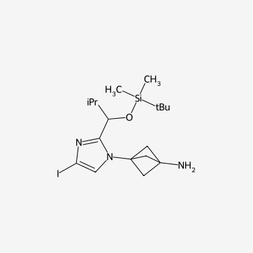 CC(C)C(O[Si](C)(C)C(C)(C)C)c1nc(I)cn1C12CC(N)(C1)C2